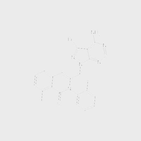 Cc1ccccc1-n1c(Cn2nc(Br)c3c(N)ncnc32)cc2cccc(C)c2c1=O